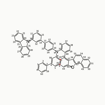 c1ccc(-c2cccc(N(c3ccc(-c4cccc(-n5c6ccccc6c6ccccc65)c4)cc3)c3ccccc3-c3cccc4oc5c6ccccc6ccc5c34)c2)cc1